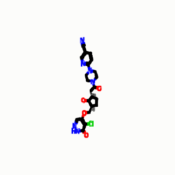 N#Cc1ccc(N2CCN(C(=O)C[C@@H]3CC[C@@H](COc4cn[nH]c(=O)c4Cl)C3=O)CC2)nc1